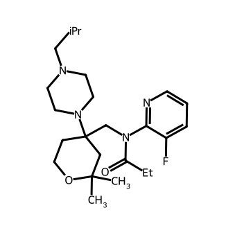 CCC(=O)N(CC1(N2CCN(CC(C)C)CC2)CCOC(C)(C)C1)c1ncccc1F